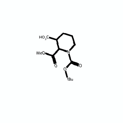 COC(=O)C1C(C(=O)O)CCCN1C(=O)OC(C)(C)C